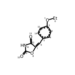 CCOc1ccc(C=C2OC(=O)NC2=O)cc1